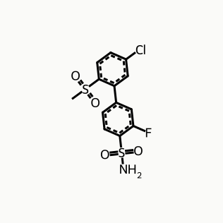 CS(=O)(=O)c1ccc(Cl)cc1-c1ccc(S(N)(=O)=O)c(F)c1